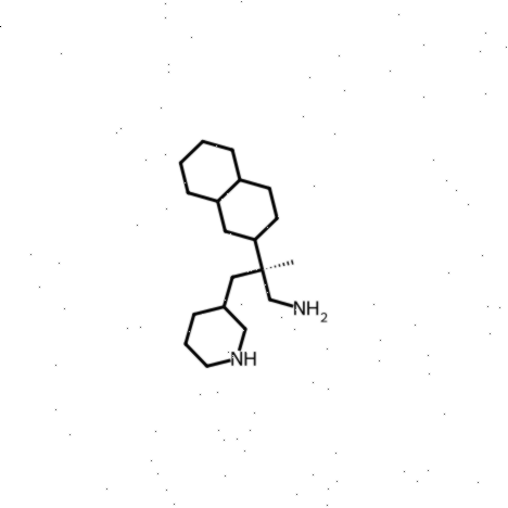 C[C@](CN)(CC1CCCNC1)C1CCC2CCCCC2C1